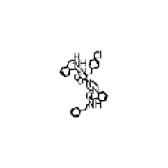 O=C(NCCc1ccccc1)c1ccccc1N1CCN(C(=O)[C@@H](Cc2ccc(Cl)cc2)NC(=O)C2N[CH]Cc3ccccc32)CC1